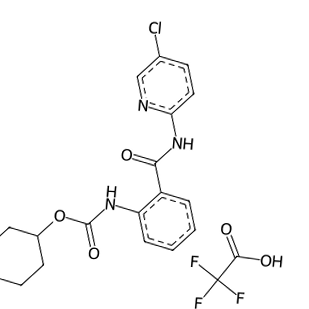 O=C(Nc1ccccc1C(=O)Nc1ccc(Cl)cn1)OC1CCNCC1.O=C(O)C(F)(F)F